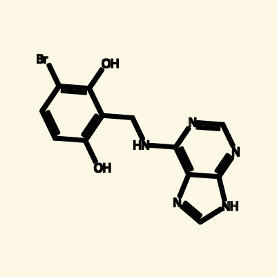 Oc1ccc(Br)c(O)c1CNc1ncnc2[nH]cnc12